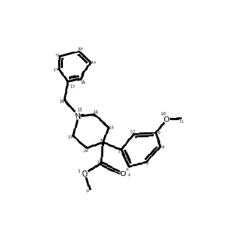 COC(=O)C1(c2cccc(OC)c2)CCN(Cc2ccccc2)CC1